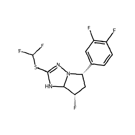 Fc1ccc([C@@H]2C[C@H](F)C3NC(SC(F)F)=NN32)cc1F